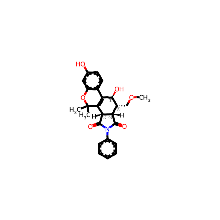 COC[C@@H]1[C@@H]2C(=O)N(c3ccccc3)C(=O)[C@@H]2C2=C(c3ccc(O)cc3OC2(C)C)[C@H]1O